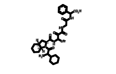 CCCC(NC(=O)[C@@H]1C[C@@H]2CCCC[C@@H]2N1C(=O)C(N)C1CCCCC1)C(=O)C(=O)NCC(=O)NC(C(=O)O)c1ccccc1